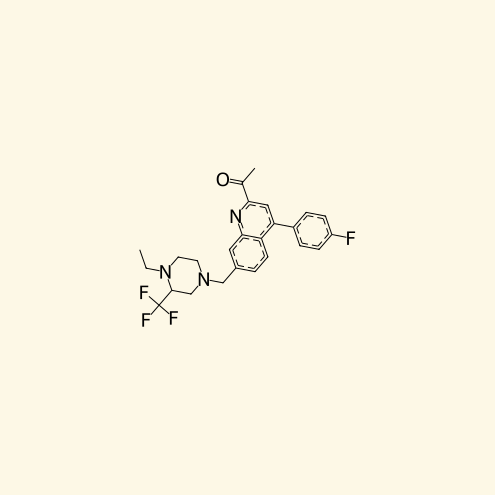 CCN1CCN(Cc2ccc3c(-c4ccc(F)cc4)cc(C(C)=O)nc3c2)CC1C(F)(F)F